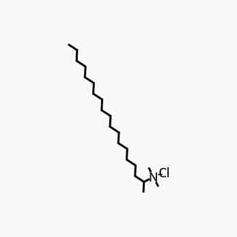 CCCCCCCCCCCCCCCCCC(C)[N+](C)(C)Cl